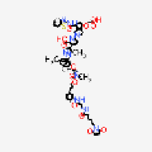 Cc1c(-c2ccc(N3CCc4c(OCC(=O)O)ccc(C(=O)Nc5nc6ccccc6s5)c4C3)nc2C(=O)O)cnn1CC12CC3(C)CC(C)(C1)CC(OCCN(C)C(=O)OC/C=C/c1cc[c]c(NC(=O)CCNC(=O)CCCCCN4C(=O)C=CC4=O)c1)(C3)C2